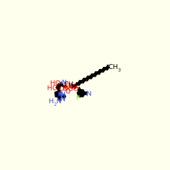 CCCCCCCCCCCCCCCCCC[C@H](COP(=O)(O)OC[C@@]1(/C=N\C)O[C@@H](C2CC=C3C(N)=NC=NN32)[C@H](O)[C@@H]1O)OCc1cc(F)cc(C#N)c1